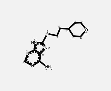 Nc1ncnc2[nH]c(SCCC3CCOCC3)nc12